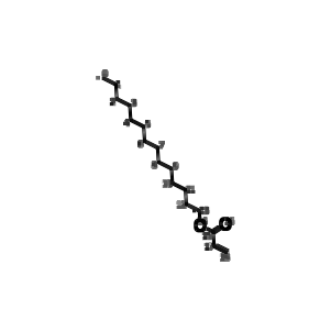 [CH2]CCCCCCCCCCCC[CH]OC(=O)C=C